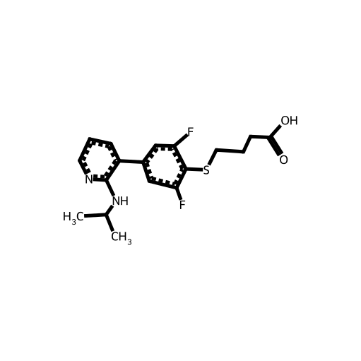 CC(C)Nc1ncccc1-c1cc(F)c(SCCCC(=O)O)c(F)c1